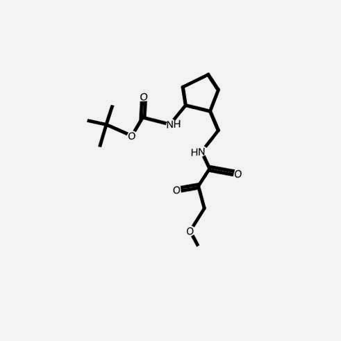 COCC(=O)C(=O)NCC1CCCC1NC(=O)OC(C)(C)C